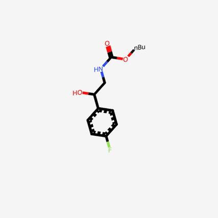 CCCCOC(=O)NCC(O)c1ccc(F)cc1